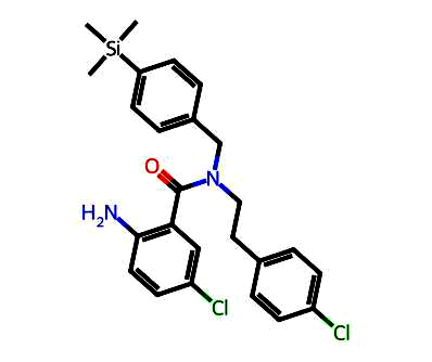 C[Si](C)(C)c1ccc(CN(CCc2ccc(Cl)cc2)C(=O)c2cc(Cl)ccc2N)cc1